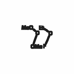 CCOF.COOOC